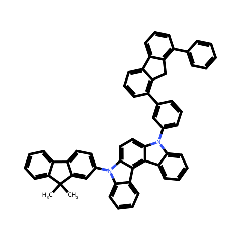 CC1(C)c2ccccc2-c2ccc(-n3c4ccccc4c4c5c6ccccc6n(-c6cccc(-c7cccc8c7Cc7c(-c9ccccc9)cccc7-8)c6)c5ccc43)cc21